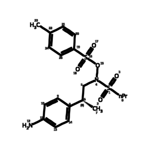 CCCS(=O)(=O)N(C[C@H](C)c1ccc(N)cc1)OS(=O)(=O)c1ccc(C)cc1